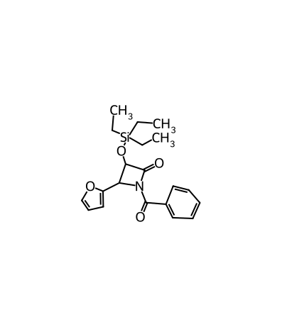 CC[Si](CC)(CC)OC1C(=O)N(C(=O)c2ccccc2)C1c1ccco1